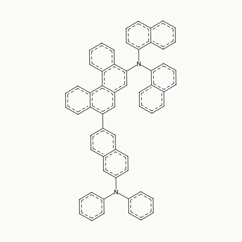 c1ccc(N(c2ccccc2)c2ccc3cc(-c4cc5cc(N(c6cccc7ccccc67)c6cccc7ccccc67)c6ccccc6c5c5ccccc45)ccc3c2)cc1